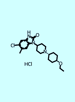 CCO[C@H]1CC[C@H](N2CCC(n3c(=O)[nH]c4cc(Cl)c(C)cc43)CC2)CC1.Cl